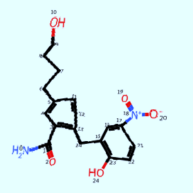 NC(=O)c1cc(CCCCO)ccc1Cc1cc([N+](=O)[O-])ccc1O